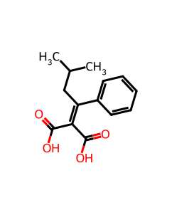 CC(C)CC(=C(C(=O)O)C(=O)O)c1ccccc1